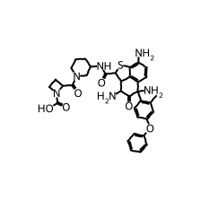 Cc1cc(Oc2ccccc2)ccc1C1(N)C(=O)C(N)C2c3c1ccc(N)c3SC2C(=O)NC1CCCN(C(=O)C2CCN2C(=O)O)C1